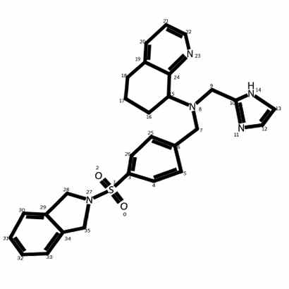 O=S(=O)(c1ccc(CN(Cc2ncc[nH]2)C2CCCc3cccnc32)cc1)N1Cc2ccccc2C1